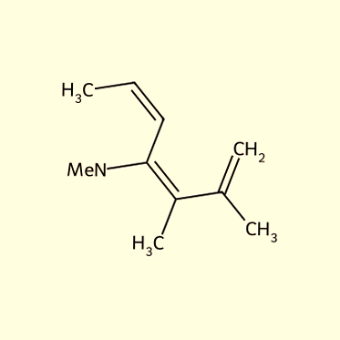 C=C(C)/C(C)=C(\C=C/C)NC